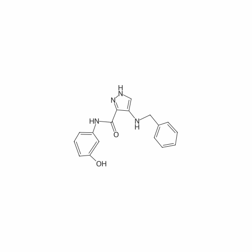 O=C(Nc1cccc(O)c1)c1n[nH]cc1NCc1ccccc1